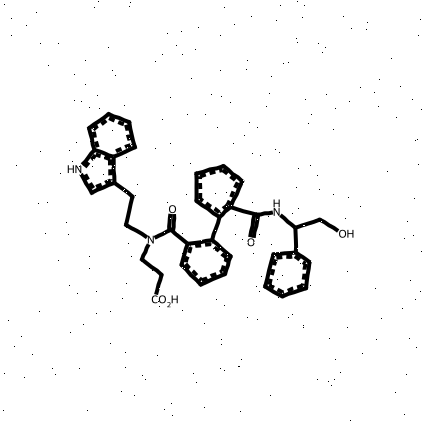 O=C(O)CCN(CCc1c[nH]c2ccccc12)C(=O)c1ccccc1-c1ccccc1C(=O)NC(CO)c1ccccc1